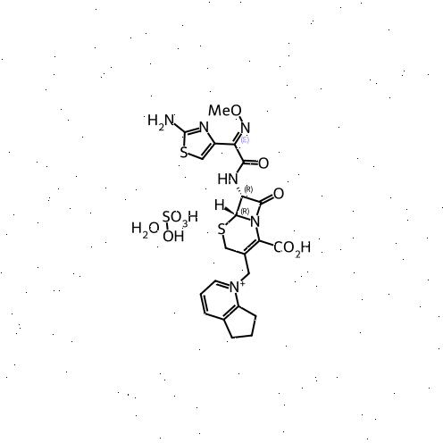 CO/N=C(/C(=O)N[C@@H]1C(=O)N2C(C(=O)O)=C(C[n+]3cccc4c3CCC4)CS[C@H]12)c1csc(N)n1.O.O=S(=O)(O)O